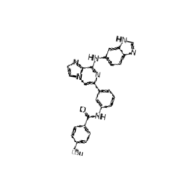 CC(C)(C)c1ccc(C(=O)Nc2cccc(-c3cn4ccnc4c(Nc4ccc5nc[nH]c5c4)n3)c2)cc1